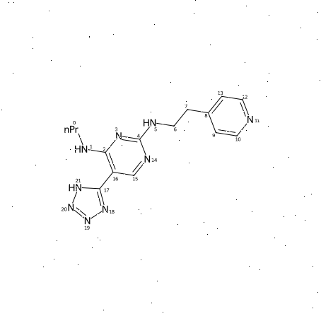 CCCNc1nc(NCCc2ccncc2)ncc1-c1nnn[nH]1